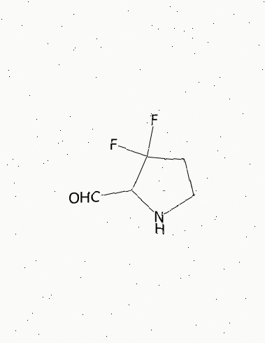 O=CC1NCCC1(F)F